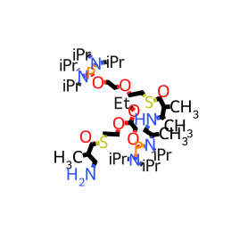 CCOC(COP(N(C(C)C)C(C)C)N(C(C)C)C(C)CNC(C)C(C)C(=O)SCCOCCOP(N(C(C)C)C(C)C)N(C(C)C)C(C)C)OCCSC(=O)C(C)CN